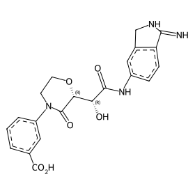 N=C1NCc2cc(NC(=O)[C@H](O)[C@H]3OCCN(c4cccc(C(=O)O)c4)C3=O)ccc21